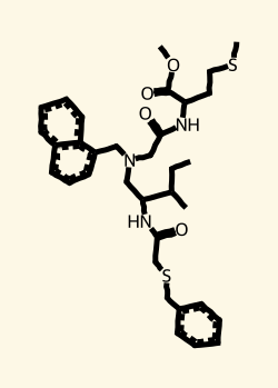 CCC(C)C(CN(CC(=O)NC(CCSC)C(=O)OC)Cc1cccc2ccccc12)NC(=O)CSCc1ccccc1